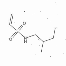 [CH2]CC(C)CNS(=O)(=O)C=C